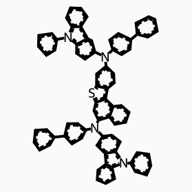 c1ccc(-c2ccc(N(c3ccc4c(c3)sc3cc(N(c5ccc(-c6ccccc6)cc5)c5ccc6c(c5)c5ccccc5n6-c5ccccc5)c5ccccc5c34)c3ccc4c(c3)c3ccccc3n4-c3ccccc3)cc2)cc1